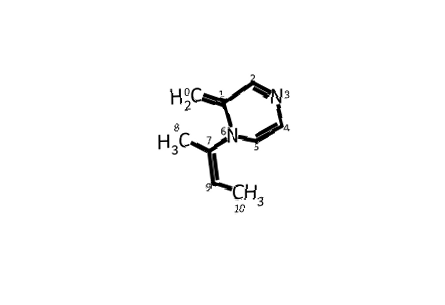 C=C1C=NC=CN1/C(C)=C\C